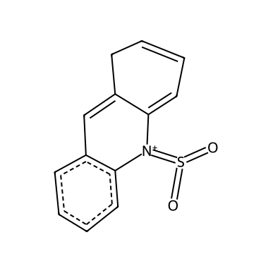 O=S(=O)=[N+]1C2=CC=CCC2=Cc2ccccc21